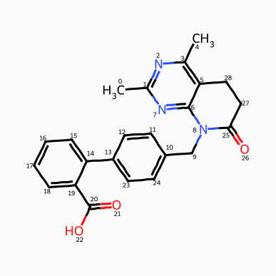 Cc1nc(C)c2c(n1)N(Cc1ccc(-c3ccccc3C(=O)O)cc1)C(=O)CC2